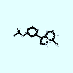 CC(=O)Oc1cccc(-c2cnn3c(O)ncnc23)c1